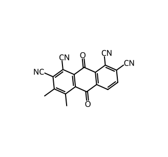 Cc1c(C)c2c(c(C#N)c1C#N)C(=O)c1c(ccc(C#N)c1C#N)C2=O